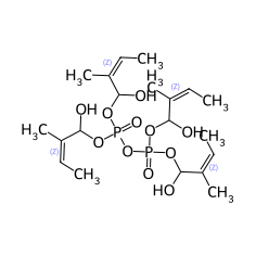 C/C=C(/C)C(O)OP(=O)(OC(O)/C(C)=C\C)OP(=O)(OC(O)/C(C)=C\C)OC(O)/C(C)=C\C